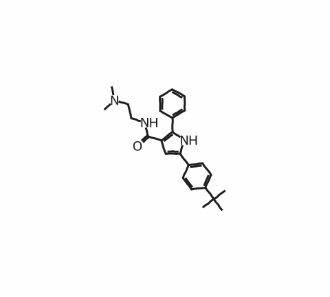 CN(C)CCNC(=O)c1cc(-c2ccc(C(C)(C)C)cc2)[nH]c1-c1ccccc1